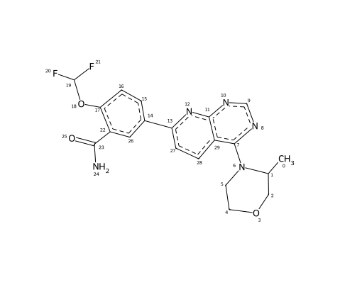 CC1COCCN1c1ncnc2nc(-c3ccc(OC(F)F)c(C(N)=O)c3)ccc12